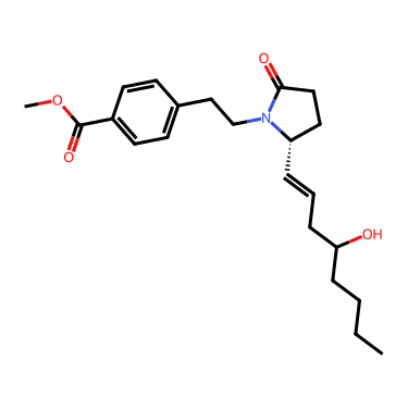 CCCCC(O)C/C=C/[C@H]1CCC(=O)N1CCc1ccc(C(=O)OC)cc1